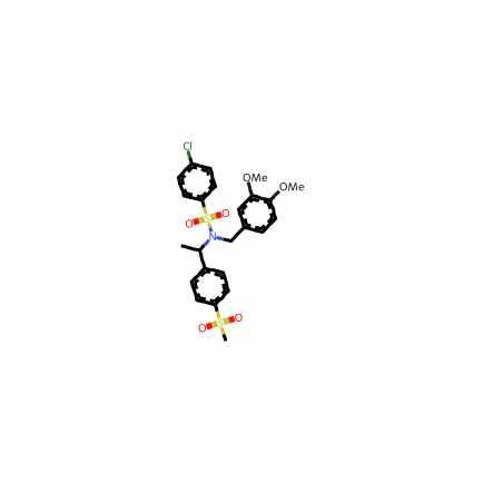 COc1ccc(CN(C(C)c2ccc(S(C)(=O)=O)cc2)S(=O)(=O)c2ccc(Cl)cc2)cc1OC